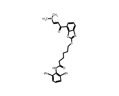 CC(C)c1cccc(C(C)C)c1NC(=O)CCCCCSc1nc2cccc(C(=O)/C=C/N(C)C)c2o1